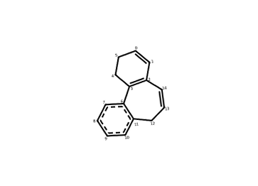 C1=CC2=C(CC1)c1ccccc1CC=C2